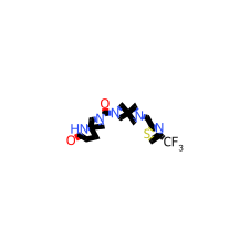 O=C1CCC2(CN(C(=O)N3CC4(CN(Cc5nc(C(F)(F)F)cs5)C4)C3)C2)N1